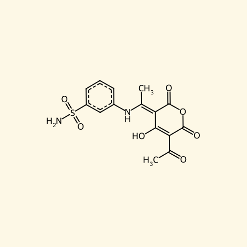 CC(=O)C1=C(O)C(=C(C)Nc2cccc(S(N)(=O)=O)c2)C(=O)OC1=O